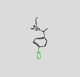 C[CH](c1ccc(Cl)cc1)[Sb]([CH3])[CH3]